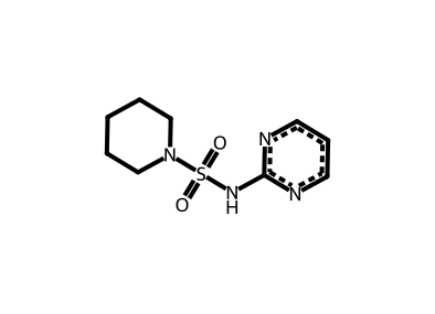 O=S(=O)(Nc1ncccn1)N1CCCCC1